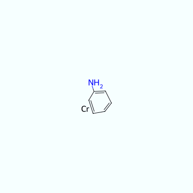 Nc1ccccc1.[Cr]